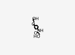 O=C(CO)Nc1ccc(OCCO)cc1